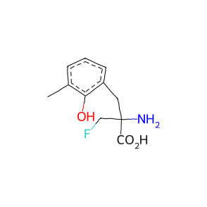 Cc1cccc(CC(N)(CF)C(=O)O)c1O